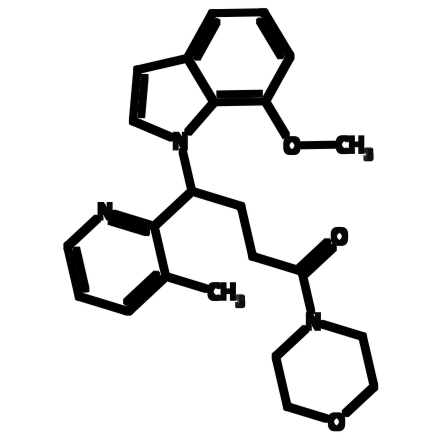 COc1cccc2ccn(C(CCC(=O)N3CCOCC3)c3ncccc3C)c12